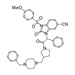 COc1ccc(S(=O)(=O)n2c(=O)n(C(C(=O)N3CCC(CN4CCN(Cc5ccccc5)CC4)C3)c3ccccc3)c3cc(C#N)ccc32)cc1